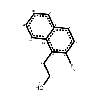 OCCc1c(F)ccc2ccccc12